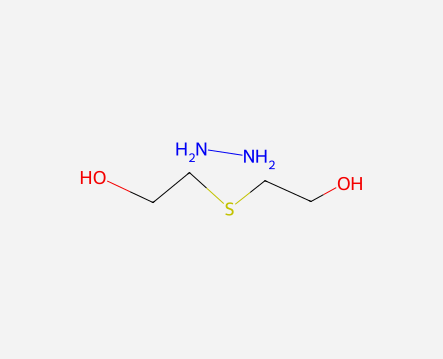 NN.OCCSCCO